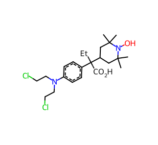 CCC(C(=O)O)(c1ccc(N(CCCl)CCCl)cc1)C1CC(C)(C)N(O)C(C)(C)C1